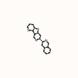 c1ccc2cc(-c3cc4sc5cccnc5c4cn3)ncc2c1